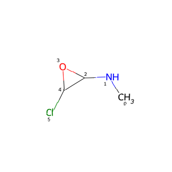 CNC1OC1Cl